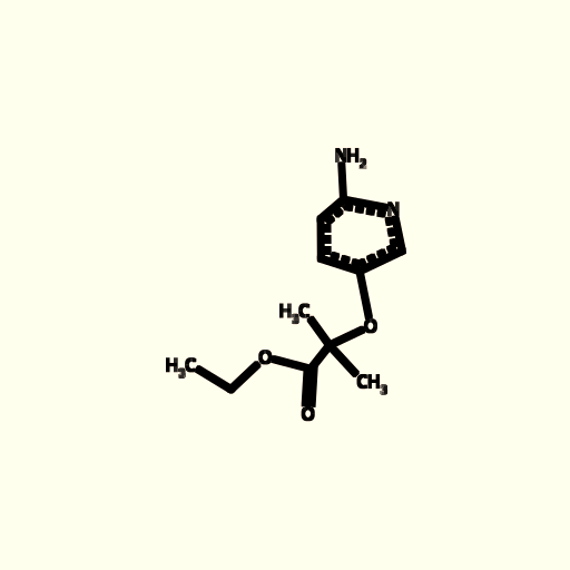 CCOC(=O)C(C)(C)Oc1ccc(N)nc1